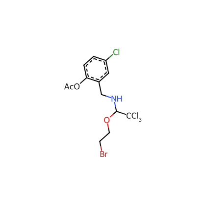 CC(=O)Oc1ccc(Cl)cc1CNC(OCCBr)C(Cl)(Cl)Cl